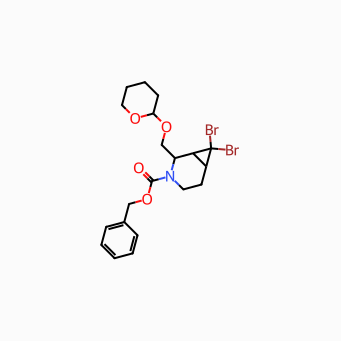 O=C(OCc1ccccc1)N1CCC2C(C1COC1CCCCO1)C2(Br)Br